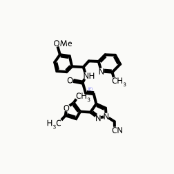 COc1cccc(C(Cc2cccc(C)n2)NC(=O)/C=C/c2cn(CC#N)nc2-c2cc(C)oc2C)c1